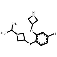 CC(C)N1CC(Oc2ccc(Cl)cc2OC2CNC2)C1